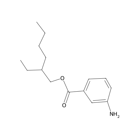 CCCCC(CC)COC(=O)c1cccc(N)c1